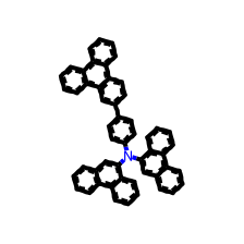 c1ccc2c(c1)cc(N(c1ccc(-c3ccc4c5ccccc5c5ccccc5c4c3)cc1)c1cc3ccccc3c3ccccc13)c1ccccc12